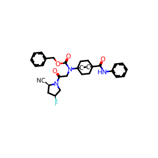 N#C[C@@H]1C[C@H](F)CN1C(=O)CN(C(=O)OCc1ccccc1)C12CCC(C(=O)Nc3ccccc3)(CC1)CC2